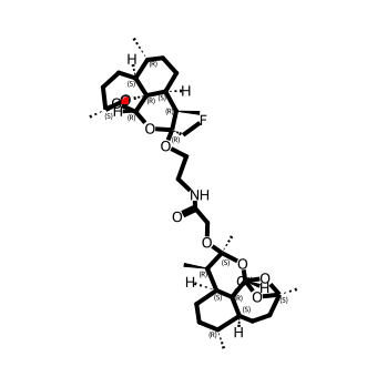 C[C@@H]1CC[C@H]2[C@@H](C)[C@@](C)(OCC(=O)NCCO[C@@]3(CF)O[C@@H]4O[C@]5(C)CC[C@H]6[C@H](C)CC[C@@H]([C@H]3C)[C@@]46OO5)O[C@@H]3O[C@]4(C)CC[C@@H]1[C@]32OO4